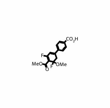 COC(=O)C1=C(F)C=C(c2ccc(C(=O)O)cc2)CC1(F)OC